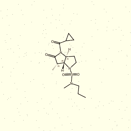 CCCN(C)S(=O)(=O)N1CC[C@H]2[C@H]1[C@H](C)C(=O)N2C(=O)C1CC1